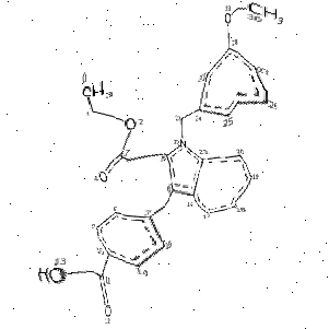 CCOC(=O)c1c(-c2ccc(C(=O)O)cc2)c2ccccc2n1Cc1cccc(OC)c1